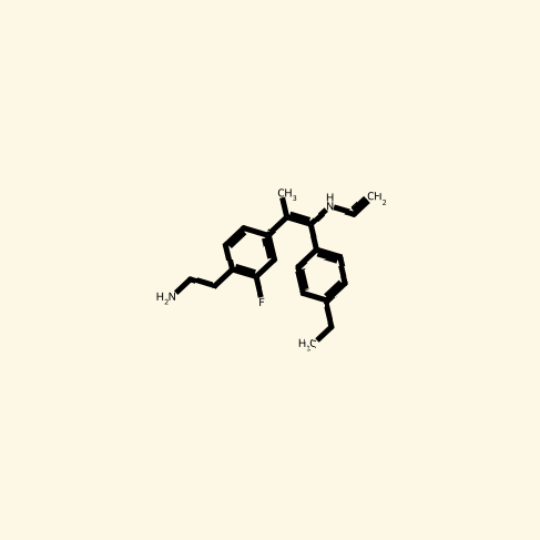 C=CN/C(=C(\C)c1ccc(CCN)c(F)c1)c1ccc(CC)cc1